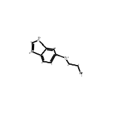 BrCCOc1ccc2ncsc2c1